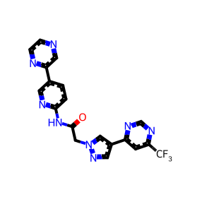 O=C(Cn1cc(-c2cc(C(F)(F)F)ncn2)cn1)Nc1ccc(-c2cnccn2)cn1